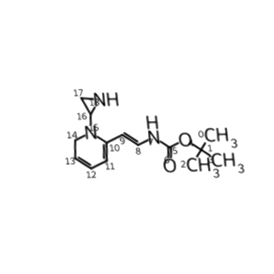 CC(C)(C)OC(=O)NC=CC1=CC=CCN1C1CN1